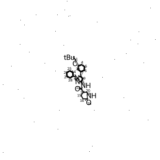 CC(C)(C)COc1cccc(-c2cc(NC(=O)C3CCC(=O)NC3)nn2-c2ccccc2)c1